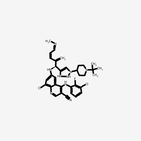 C=C(/C=C\C=N/C)[C@H](Nc1cc(Cl)c2ncc(C#N)c(Nc3cccc(Cl)c3F)c2c1)C1=CN(C2CCN(C(C)(C)C)CC2)NN1